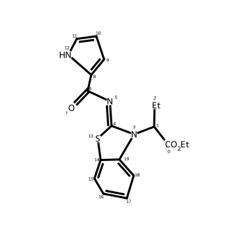 CCOC(=O)C(CC)n1c(=NC(=O)c2ccc[nH]2)sc2ccccc21